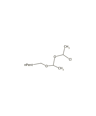 CCCCCCOC(C)OC(C)Cl